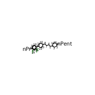 CCCCCC1CCC(CCCCC2CCC(c3ccc(CCC)c(F)c3F)CC2)CC1